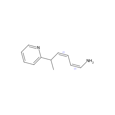 CC(/C=C\C=C/N)c1ccccn1